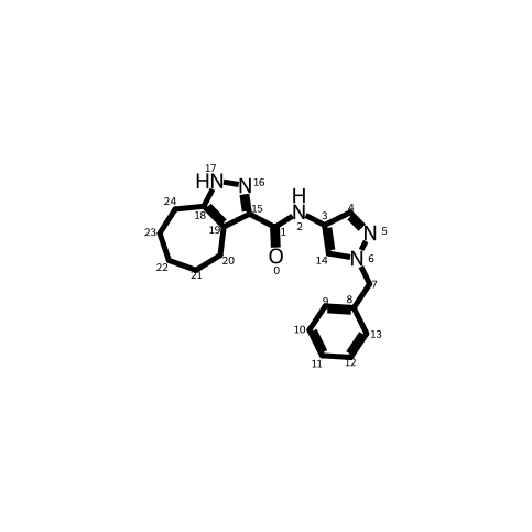 O=C(Nc1cnn(Cc2ccccc2)c1)c1n[nH]c2c1CCCCC2